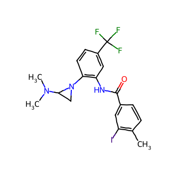 Cc1ccc(C(=O)Nc2cc(C(F)(F)F)ccc2N2CC2N(C)C)cc1I